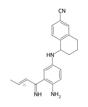 C/C=C/C(=N)c1cc(NC2CCCc3cc(C#N)ccc32)ccc1N